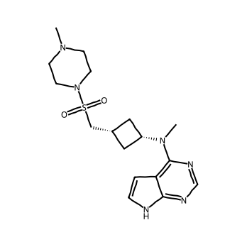 CN1CCN(S(=O)(=O)C[C@H]2C[C@@H](N(C)c3ncnc4[nH]ccc34)C2)CC1